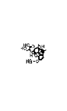 CO[C@@]12CC[C@H](N[C@@H](CO)C(=O)O)[C@@H]3Oc4c(O)ccc5c4[C@@]31CCN(C)[C@@H]2C5.Cl.Cl